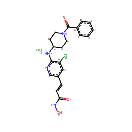 Cl.O=C(/C=C/c1cnc(NC2CCN(C(=O)c3ccccc3)CC2)c(Cl)c1)NO